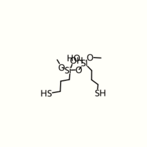 CO[Si](O)(CCCS)O[Si](O)(CCCS)OC